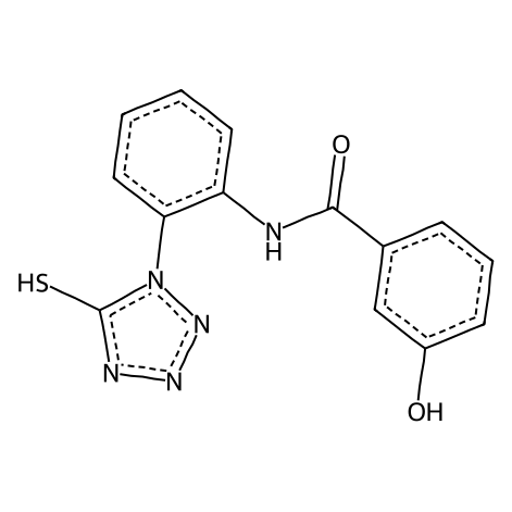 O=C(Nc1ccccc1-n1nnnc1S)c1cccc(O)c1